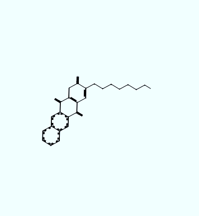 CCCCCCCCC1=CC2=C(CC1=O)C(=O)c1cc3ccccc3cc1C2=O